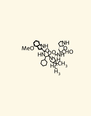 COc1cccc2[nH]c(C(=O)N[C@H](C(=O)N3C[C@H]4[C@@H]([C@H]3C(=O)N[C@H](C=O)C[C@@H]3CCNC3=O)C4(C)C)C3CCCCC3)cc12